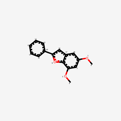 COc1cc(OC)c2oc(-c3ccccc3)cc2c1